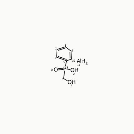 O=P(O)(CO)c1ccccc1.[AlH3]